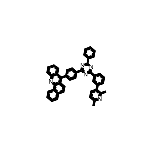 Cc1ccc(-c2cccc(-c3nc(-c4ccccc4)nc(-c4ccc(-c5c6ccccc6nc6c5ccc5ccccc56)cc4)n3)c2)c(C)n1